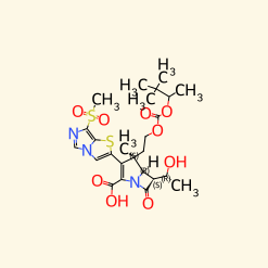 CC(OC(=O)OCC[C@@]1(C)C(c2cn3cnc(S(C)(=O)=O)c3s2)=C(C(=O)O)N2C(=O)[C@H]([C@@H](C)O)[C@@H]21)C(C)(C)C